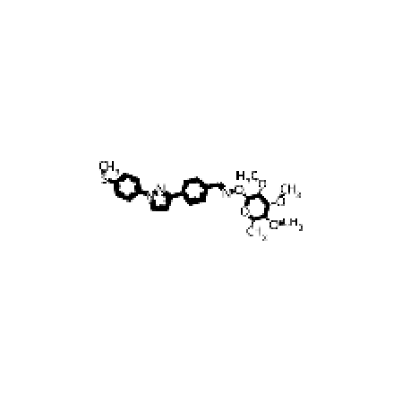 CO[C@@H]1[C@@H](OC)[C@H](C)O[C@@H](O/N=C/c2ccc(-c3ccn(-c4ccc(SC)cc4)n3)cc2)[C@@H]1OC